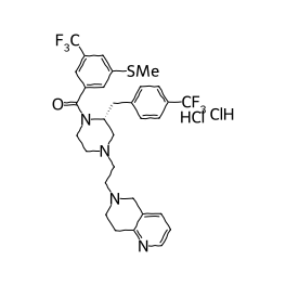 CSc1cc(C(=O)N2CCN(CCN3CCc4ncccc4C3)C[C@H]2Cc2ccc(C(F)(F)F)cc2)cc(C(F)(F)F)c1.Cl.Cl